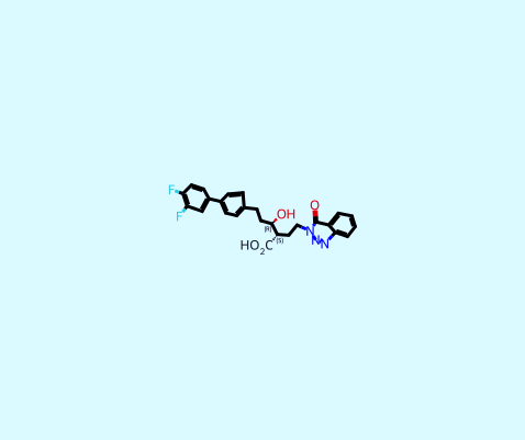 O=C(O)[C@@H](CCn1nnc2ccccc2c1=O)[C@H](O)CCc1ccc(-c2ccc(F)c(F)c2)cc1